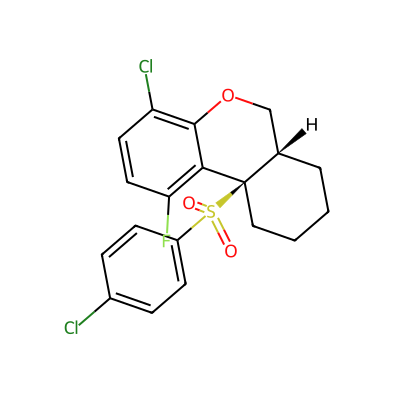 O=S(=O)(c1ccc(Cl)cc1)[C@]12CCCC[C@H]1COc1c(Cl)ccc(F)c12